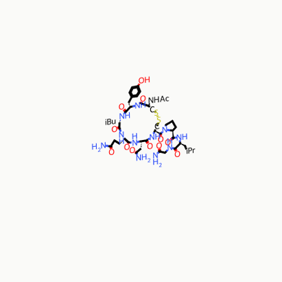 CC[C@H](C)[C@@H]1NC(=O)[C@H](Cc2ccc(O)cc2)NC(=O)[C@@H](NC(C)=O)CSSC[C@@H](C(=O)N2CCC[C@H]2C(=O)N[C@@H](CC(C)C)C(=O)NCC(N)=O)NC(=O)[C@H](CC(N)=O)NC(=O)[C@H](CCC(N)=O)NC1=O